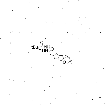 CC1(C)COC2(CC3CC(CC(=O)NNC(=O)OC(C)(C)C)CC3C2)OC1